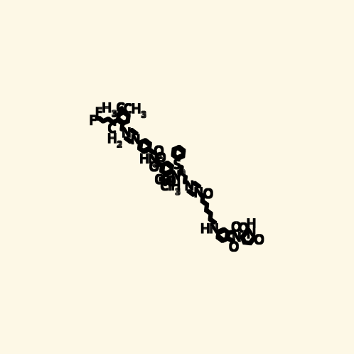 C=C(CCC(F)F)C1=C(CN2CCN(c3ccc(C(=O)NS(=O)(=O)c4ccc(N[C@H](CCN5CCN(C(=O)CCCCCCNc6ccc7c(c6)C(=O)N(C6CCC(=O)NC6=O)C7=O)CC5)CSc5ccccc5)c(S(=O)(=O)C(F)(F)F)c4)cc3)CC2)CCC(C)(C)C1